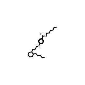 CCCCCCOC(=O)c1ccc(OCCCC2CCCCC2CCCCC)cc1